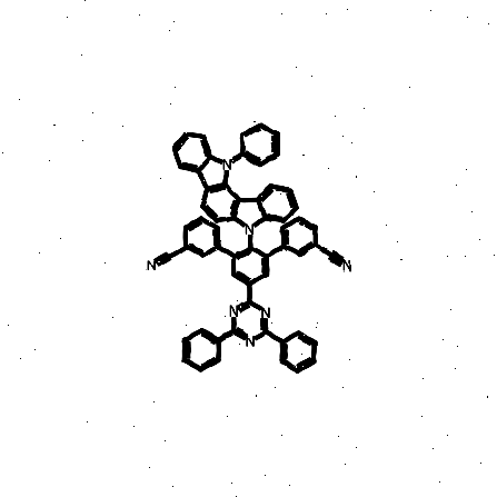 N#Cc1cccc(-c2cc(-c3nc(-c4ccccc4)nc(-c4ccccc4)n3)cc(-c3cccc(C#N)c3)c2-n2c3ccccc3c3c2ccc2c4ccccc4n(-c4ccccc4)c23)c1